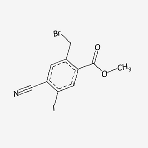 COC(=O)c1cc(I)c(C#N)cc1CBr